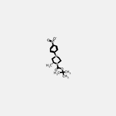 C[C@@H]1CN(c2ccc([N+](=O)[O-])cc2)CCN1C(=O)OC(C)(C)C